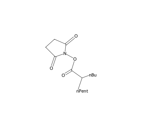 CCCCCC(CCCC)C(=O)ON1C(=O)CCC1=O